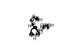 O=C(C[C@@H]1CCN(C(=O)c2nc[nH]n2)C1)Nc1ccc2cc1CCc1cncc(c1)Nc1ncc(Cl)c(n1)N2.O=C(O)C(F)(F)F.O=C(O)C(F)(F)F